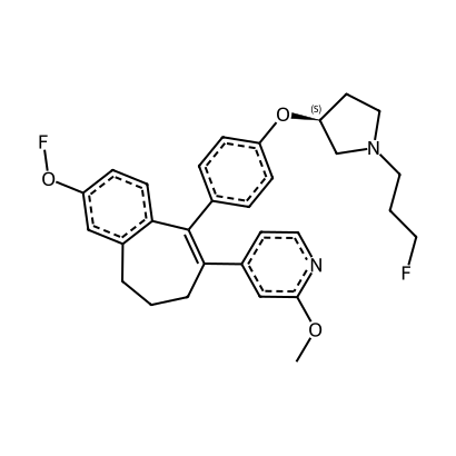 COc1cc(C2=C(c3ccc(O[C@H]4CCN(CCCF)C4)cc3)c3ccc(OF)cc3CCC2)ccn1